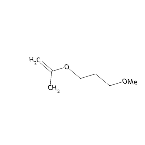 C=C(C)OCCCOC